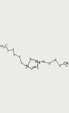 CCCCCCN1C=CN(CCCCC)C1